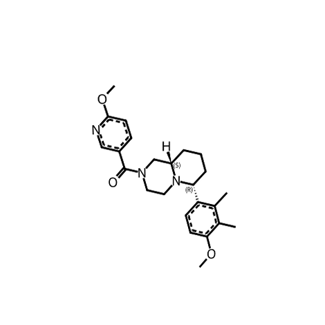 COc1ccc(C(=O)N2CCN3[C@@H](CCC[C@@H]3c3ccc(OC)c(C)c3C)C2)cn1